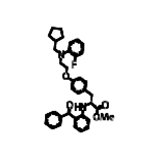 COC(=O)[C@H](Cc1ccc(OCCN(CC2CCCC2)c2ccccc2F)cc1)Nc1ccccc1C(=O)c1ccccc1